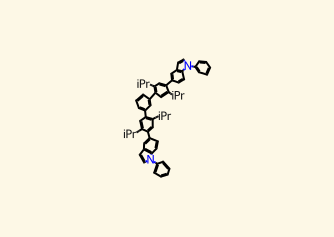 CC(C)c1cc(-c2ccc3c(ccn3-c3ccccc3)c2)c(C(C)C)cc1-c1cccc(-c2cc(C(C)C)c(-c3ccc4c(ccn4-c4ccccc4)c3)cc2C(C)C)c1